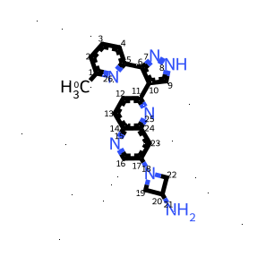 Cc1cccc(-c2n[nH]cc2-c2ccc3ncc(N4CC(N)C4)cc3n2)n1